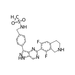 CS(=O)(=O)NCc1ccc(-c2n[nH]c3cnc(-c4c(F)cc5c(c4F)CNCC5)nc23)cc1